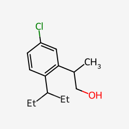 CCC(CC)c1ccc(Cl)cc1C(C)CO